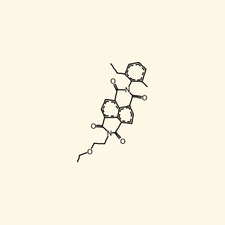 CCOCCN1C(=O)c2ccc3c4c(ccc(c24)C1=O)C(=O)N(c1c(C)cccc1CC)C3=O